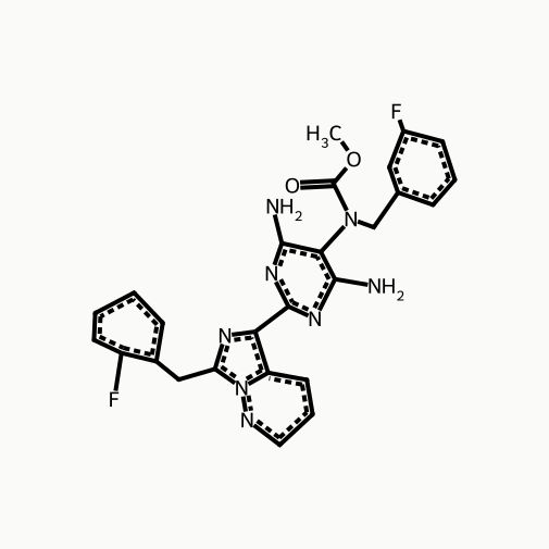 COC(=O)N(Cc1cccc(F)c1)c1c(N)nc(-c2nc(Cc3ccccc3F)n3ncccc23)nc1N